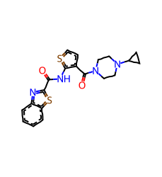 O=C(Nc1sccc1C(=O)N1CCN(C2CC2)CC1)c1nc2ccccc2s1